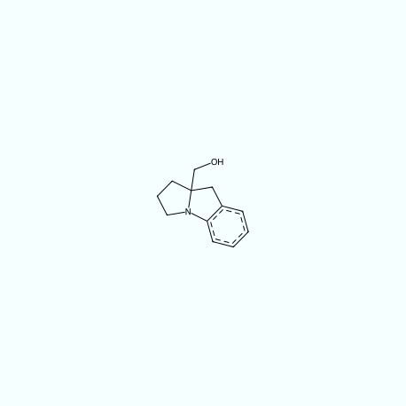 OCC12CCCN1c1ccccc1C2